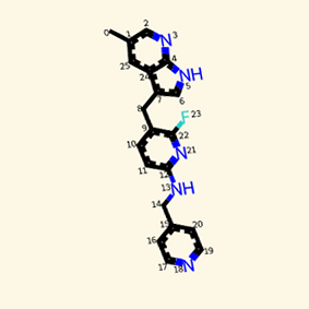 Cc1cnc2[nH]cc(Cc3ccc(NCc4ccncc4)nc3F)c2c1